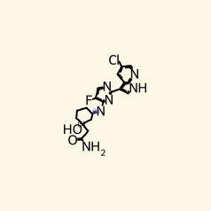 NC(=O)C[C@]1(O)CCC/C(=N\c2nc(-c3c[nH]c4ncc(Cl)cc34)ncc2F)C1